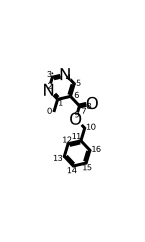 Cc1n[c]ncc1C(=O)OCc1ccccc1